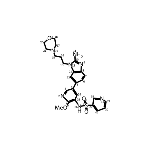 COc1ncc(-c2ccc3nc(N)n(CCCN4CCOCC4)c3c2)cc1NS(=O)(=O)c1cccnc1